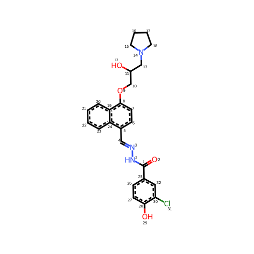 O=C(N/N=C/c1ccc(OCC(O)CN2CCCC2)c2ccccc12)c1ccc(O)c(Cl)c1